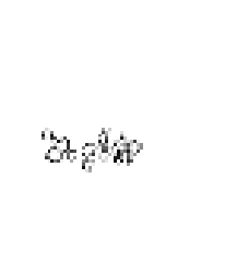 O=C(NC(=O)c1c(F)cccc1F)Nc1ccc(Oc2ccc(Cl)c3ccccc23)c(Cl)c1